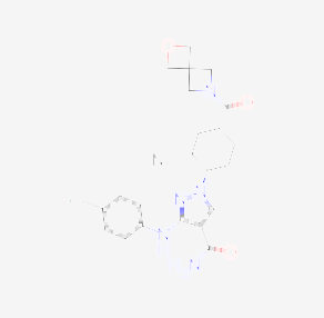 N#C[C@@H]1C[C@H](C(=O)N2CC3(COC3)C2)CC[C@H]1n1cc(C(N)=O)c(Nc2ccc(Cl)cc2)n1